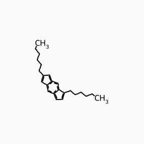 CCCCCCC1=Cc2cc3c(cc2=C1)C(CCCCCC)=CC=3